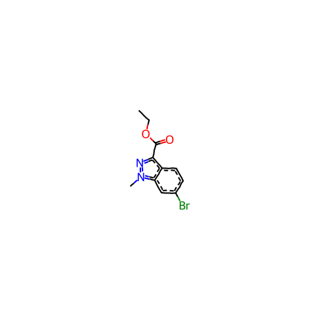 CCOC(=O)c1nn(C)c2cc(Br)ccc12